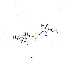 C=C(C)NCCCCCC[N+](C)(C)C.[Cl-]